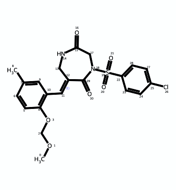 COCOc1ccc(C)cc1/C=C1\CNC(=O)CN(S(=O)(=O)c2ccc(Cl)cc2)C1=O